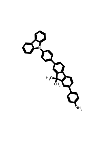 CC1(C)c2cc(-c3ccc(N)cc3)ccc2-c2ccc(-c3ccc(-n4c5ccccc5c5ccccc54)cc3)cc21